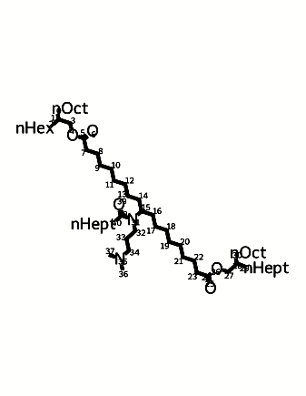 CCCCCCCCC(CCCCCC)COC(=O)CCCCCCCCC(CCCCCCCCC(=O)OCC(CCCCCCC)CCCCCCCC)N(CCCN(C)C)C(=O)CCCCCCC